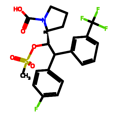 CS(=O)(=O)OC(C(c1ccc(F)cc1)c1cccc(C(F)(F)F)c1)[C@H]1CCCN1C(=O)O